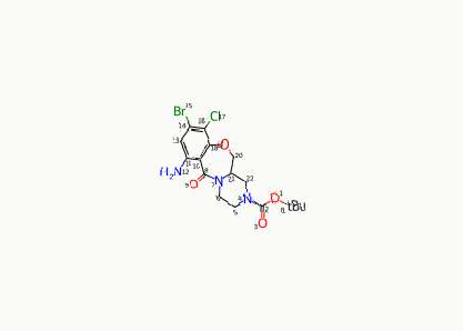 CC(C)(C)OC(=O)N1CCN2C(=O)c3c(N)cc(Br)c(Cl)c3OCC2C1